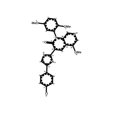 COc1ccc(OC)c(-n2c(=O)c(-c3nc(-c4ccc(Cl)cc4)cs3)cc3c(OC)cncc32)c1